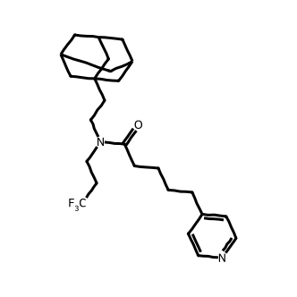 O=C(CCCCc1ccncc1)N(CCC(F)(F)F)CCC12CC3CC(CC(C3)C1)C2